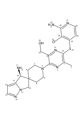 Cc1nc(N2CCC3(CC2)Cn2nccc2[C@H]3N)c(CO)nc1Sc1ccnc(N)c1Cl